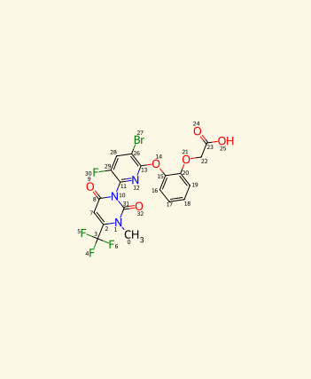 Cn1c(C(F)(F)F)cc(=O)n(-c2nc(Oc3ccccc3OCC(=O)O)c(Br)cc2F)c1=O